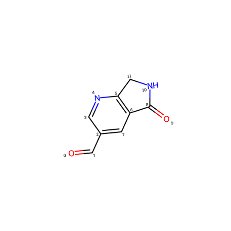 O=Cc1cnc2c(c1)C(=O)NC2